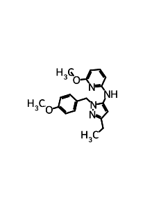 CCc1cc(Nc2cccc(OC)n2)n(Cc2ccc(OC)cc2)n1